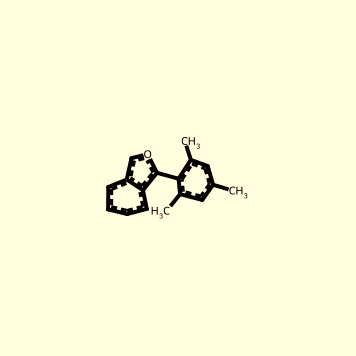 Cc1cc(C)c(-c2occ3ccccc23)c(C)c1